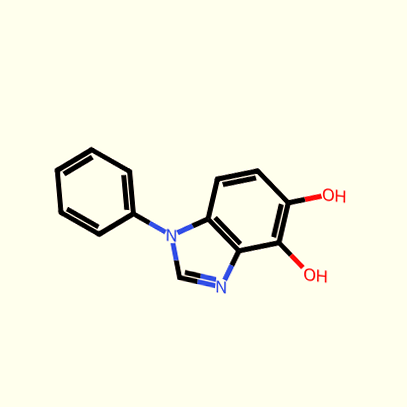 Oc1ccc2c(ncn2-c2ccccc2)c1O